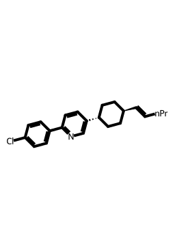 CCCC=C[C@H]1CC[C@H](c2ccc(-c3ccc(Cl)cc3)nc2)CC1